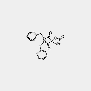 CCCC(OP=O)(C(=O)OCc1ccccc1)C(=O)OCc1ccccc1